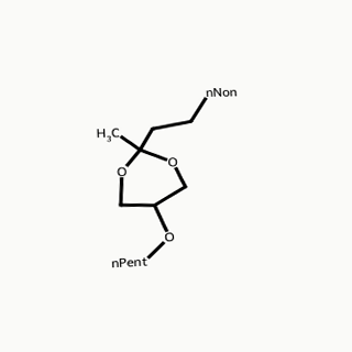 CCCCCCCCCCCC1(C)OCC(OCCCCC)CO1